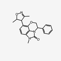 CC1=NOC(C)C1c1ccc2c3c1OCC(c1ccccc1)n3c(=O)n2C